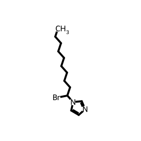 CCCCCCCCCC(Br)n1ccnc1